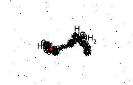 NC(=O)c1c(-c2ccc(Oc3ccccc3)cc2)nn2c1NCCC2C1CCN(CCCCCSc2cccc3c2CN(C2CCC(=O)NC2=O)C3=O)CC1